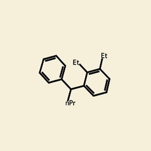 CCCC(c1ccccc1)c1cccc(CC)c1CC